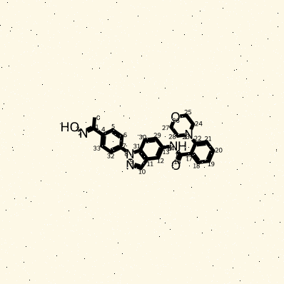 CC(=NO)c1ccc(-n2ncc3cc(NC(=O)c4ccccc4N4CCOCC4)ccc32)cc1